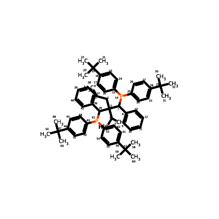 CCCC(C(C)C)(C(c1ccccc1)P(c1ccc(C(C)(C)C)cc1)c1ccc(C(C)(C)C)cc1)C(c1ccccc1)P(c1ccc(C(C)(C)C)cc1)c1ccc(C(C)(C)C)cc1